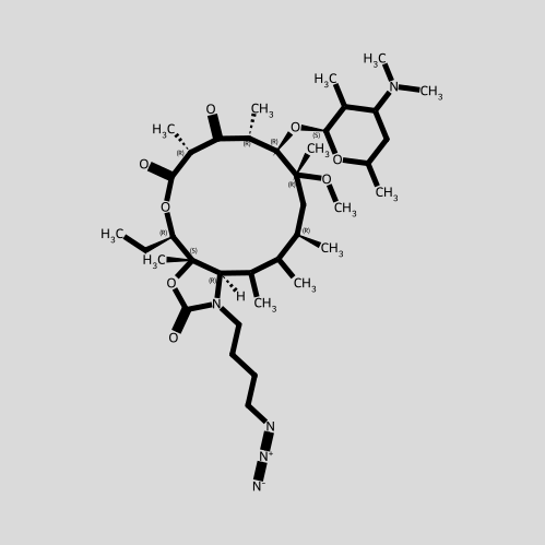 CC[C@H]1OC(=O)[C@H](C)C(=O)[C@H](C)[C@@H](O[C@@H]2OC(C)CC(N(C)C)C2C)[C@](C)(OC)C[C@@H](C)C(C)C(C)[C@H]2N(CCCCN=[N+]=[N-])C(=O)O[C@]12C